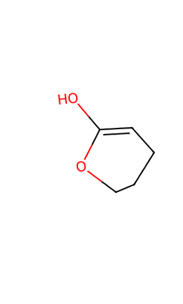 OC1=CCCCO1